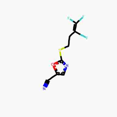 N#Cc1cnc(SCCC(F)=C(F)F)o1